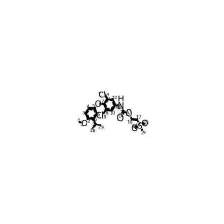 COc1ccc(Oc2c(Cl)cc(NC(=O)OCCS(C)(=O)=O)cc2Cl)cc1C(C)C